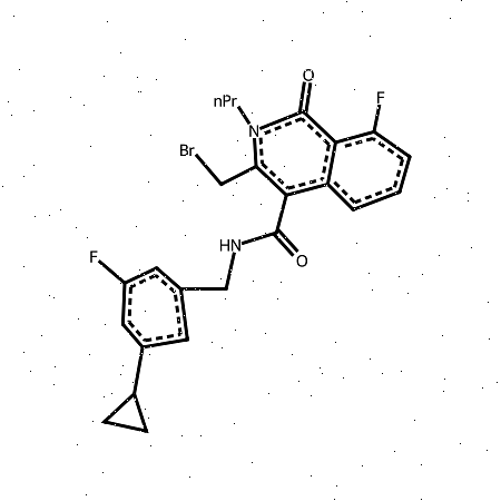 CCCn1c(CBr)c(C(=O)NCc2cc(F)cc(C3CC3)c2)c2cccc(F)c2c1=O